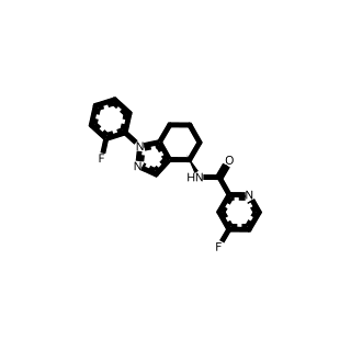 O=C(N[C@@H]1CCCc2c1cnn2-c1ccccc1F)c1cc(F)ccn1